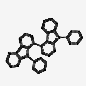 c1ccc(-n2c3ccccc3c3c(-c4cccc5c6ncccc6n(-c6ccccc6)c45)cccc32)cc1